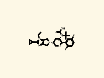 CCn1c(C2CC2)nc2c1CN([C@H]1CO[C@H](c3cc(F)ccc3F)[C@@H](N(C(=O)O)C(C)(C)C)C1)C2